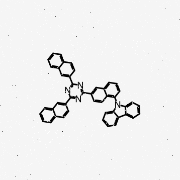 c1ccc2cc(-c3nc(-c4ccc5ccccc5c4)nc(-c4ccc5c(-n6c7ccccc7c7ccccc76)cccc5c4)n3)ccc2c1